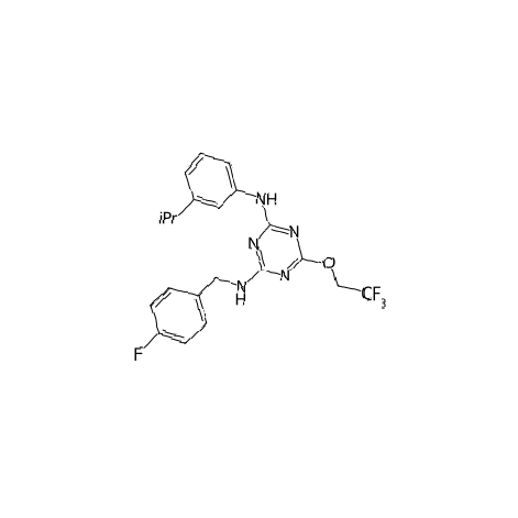 CC(C)c1cccc(Nc2nc(NCc3ccc(F)cc3)nc(OCC(F)(F)F)n2)c1